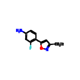 CCOC(=O)c1cc(-c2ccc(N)cc2F)on1